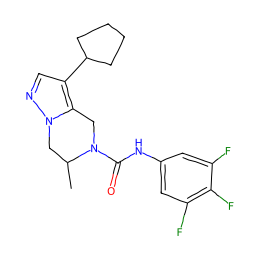 CC1Cn2ncc(C3CCCC3)c2CN1C(=O)Nc1cc(F)c(F)c(F)c1